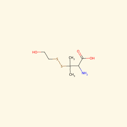 CC(C)(SSCCO)C(N)C(=O)O